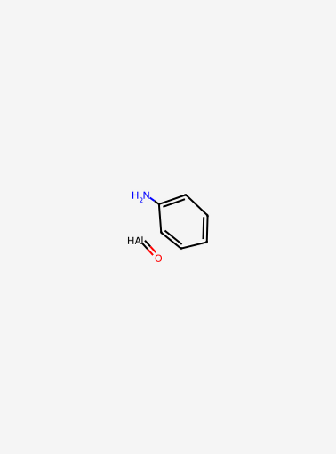 Nc1ccccc1.[O]=[AlH]